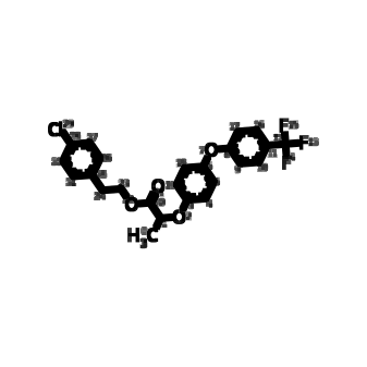 CC(Oc1ccc(Oc2ccc(C(F)(F)F)cc2)cc1)C(=O)OCCc1ccc(Cl)cc1